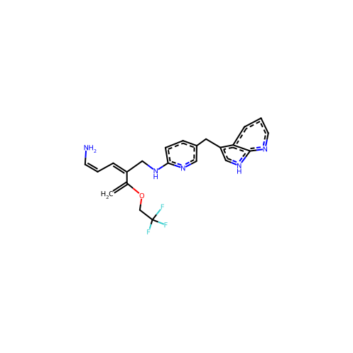 C=C(OCC(F)(F)F)/C(=C\C=C/N)CNc1ccc(Cc2c[nH]c3ncccc23)cn1